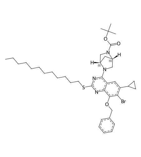 CCCCCCCCCCCCSc1nc(N2C[C@@H]3C[C@H]2CN3C(=O)OC(C)(C)C)c2cc(C3CC3)c(Br)c(OCc3ccccc3)c2n1